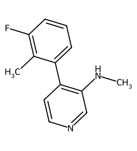 CNc1cnccc1-c1cccc(F)c1C